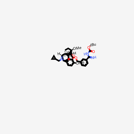 COc1ccc2c3c1O[C@H]1[C@@]4(OC)CC[C@@]5(C[C@@H]4COCc4cccc(C(=N)NC(=O)OC(C)(C)C)c4)[C@@H](C2)N(CC2CC2)CC[C@]315